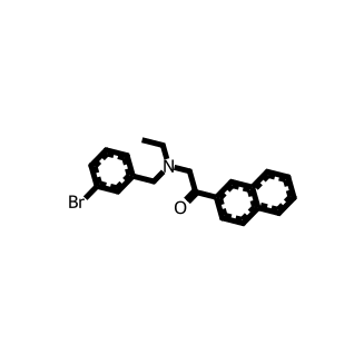 CCN(CC(=O)c1ccc2ccccc2c1)Cc1cccc(Br)c1